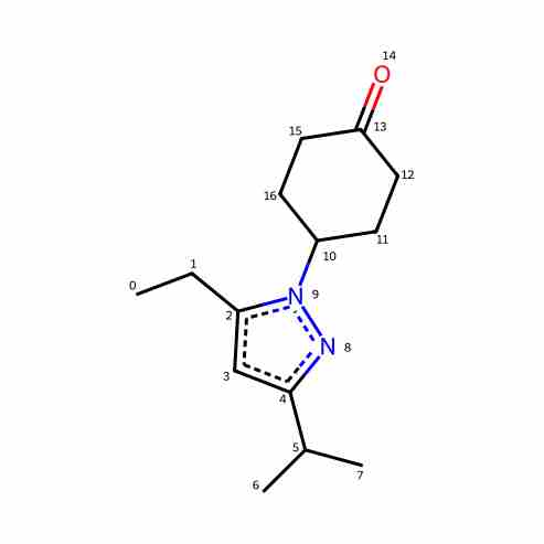 CCc1cc(C(C)C)nn1C1CCC(=O)CC1